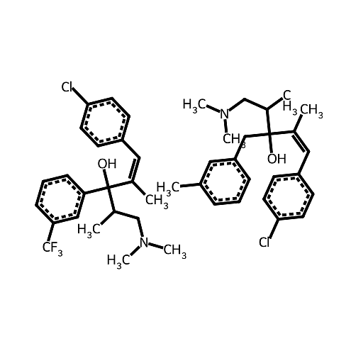 CC(=Cc1ccc(Cl)cc1)C(O)(Cc1cccc(C)c1)C(C)CN(C)C.CC(=Cc1ccc(Cl)cc1)C(O)(c1cccc(C(F)(F)F)c1)C(C)CN(C)C